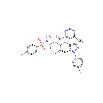 CN([C@H]1CCC2=Cc3c(cnn3-c3ccc(F)cc3)C[C@]2(C(=O)c2cc(C(F)(F)F)ccn2)C1)S(=O)(=O)c1ccc(Cl)cc1